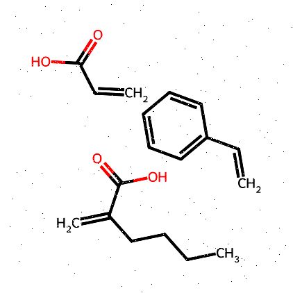 C=C(CCCC)C(=O)O.C=CC(=O)O.C=Cc1ccccc1